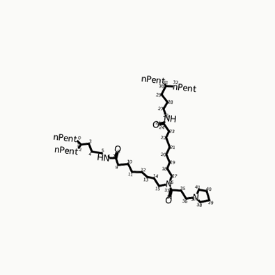 CCCCCC(CCCCC)CCCNC(=O)CCCCCCCN(CCCCCCCC(=O)NCCCC(CCCCC)CCCCC)C(=O)CCN1CCCC1